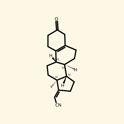 C[C@]12CC[C@@H]3C4=C(CC[C@H]3[C@@H]1CCC2=CC#N)CC(=O)CC4